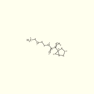 C=C(C(=O)OCCOCC)C12CCCC1C2